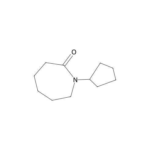 O=C1CCCCCN1C1CCCC1